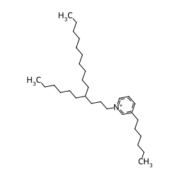 CCCCCCCCCCC(CCCCCC)CCC[n+]1cccc(CCCCCC)c1